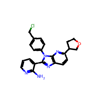 Nc1ncccc1-c1nc2ccc(C3CCOC3)nc2n1-c1ccc(CCl)cc1